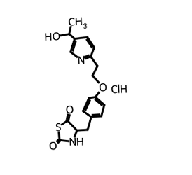 CC(O)c1ccc(CCOc2ccc(CC3NC(=O)SC3=O)cc2)nc1.Cl